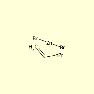 [Br][Zn][Br].[CH2]CCC=C